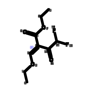 CCO/C=C(/C(=O)OCC)C(=O)C(F)F